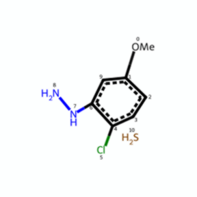 COc1ccc(Cl)c(NN)c1.S